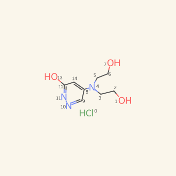 Cl.OCCN(CCO)c1cnnc(O)c1